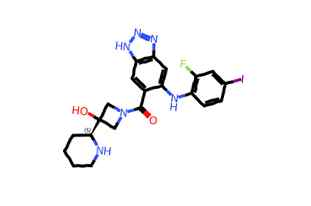 O=C(c1cc2[nH]nnc2cc1Nc1ccc(I)cc1F)N1CC(O)([C@@H]2CCCCN2)C1